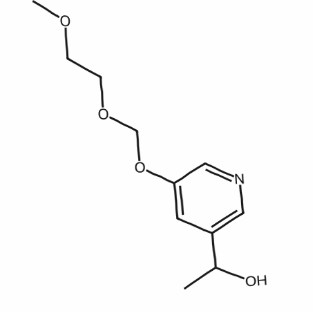 COCCOCOc1cncc(C(C)O)c1